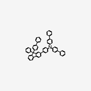 c1ccc(-c2ccc(N(c3ccc(-c4ccccc4)cc3)c3ccc(-c4ccc5c(c4)C(c4ccccc4)(c4ccc(-c6ccccc6)cc4)c4ccccc4-5)cc3)cc2)cc1